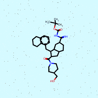 CC(C)(C)OC(=O)NC(=N)C1CCC2CC(C(=O)N3CCC(CO)CC3)C(Cc3cccc4c3CCCC4)C2C1